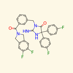 N=C1NC(c2ccc(F)cc2)(c2ccc(F)cc2)C(=O)N1Cc1cccc(C(=O)N2Cc3cc(F)c(F)cc3C2)c1